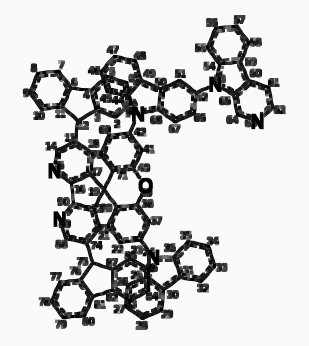 c1ccc2c(c1)-c1ccccc1C2c1cnc2c(c1)C1(c3ccc(-n4c5ccccc5c5ccccc54)cc3Oc3cc(-n4c5ccccc5c5cc(-n6c7ccccc7c7ccncc76)ccc54)ccc31)c1cc(C3c4ccccc4-c4ccccc43)cnc1-2